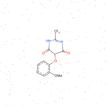 COc1ccccc1OC1C(=O)N=C(C(F)(F)F)NC1=O